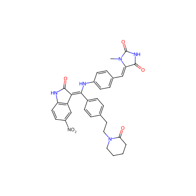 CN1C(=O)NC(=O)/C1=C/c1ccc(N/C(=C2\C(=O)Nc3ccc([N+](=O)[O-])cc32)c2ccc(CCN3CCCCC3=O)cc2)cc1